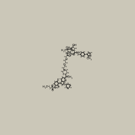 CCCS(=O)(=O)Nc1ccc(F)c(-n2cc(-c3cncnc3)c3nc(N(C)C4CCN(CCOCCOCC(=O)N[C@H](C(O)N5C[C@H](O)C[C@H]5C(=O)NCc5ccc(-c6scnc6C)cc5)C(C)(C)C)CC4)ccc32)c1F